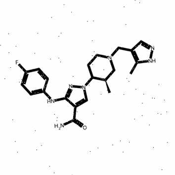 Cc1[nH]ncc1CN1CCC(n2cc(C(N)=O)c(Nc3ccc(F)cc3)n2)[C@H](C)C1